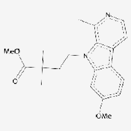 COC(=O)C(C)(C)CCn1c2cc(OC)ccc2c2ccnc(C)c21